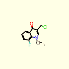 Cn1cc(CCl)c(=O)c2cccc(F)c21